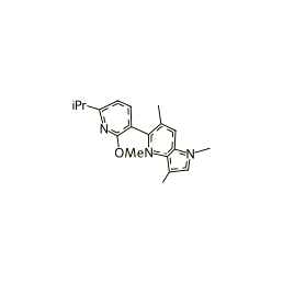 COc1nc(C(C)C)ccc1-c1nc2c(C)cn(C)c2cc1C